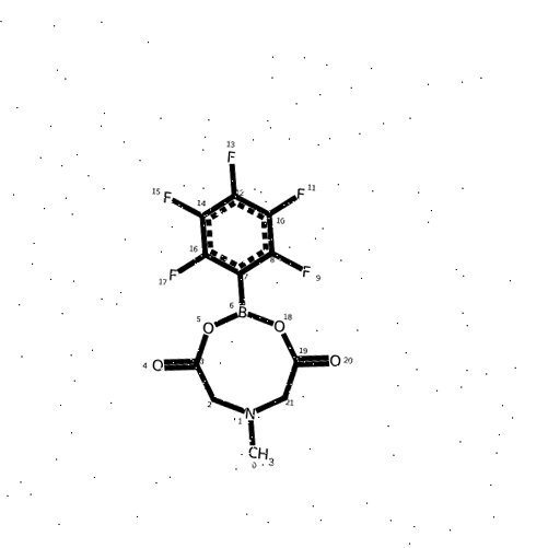 CN1CC(=O)OB(c2c(F)c(F)c(F)c(F)c2F)OC(=O)C1